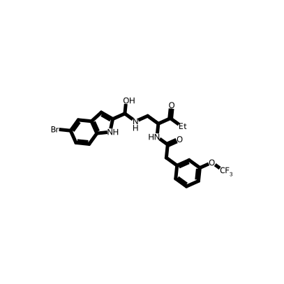 CCC(=O)C(CNC(O)c1cc2cc(Br)ccc2[nH]1)NC(=O)Cc1cccc(OC(F)(F)F)c1